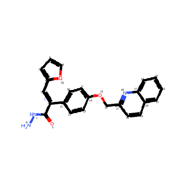 NNC(=O)/C(=C/c1ccco1)c1ccc(OCc2ccc3ccccc3n2)cc1